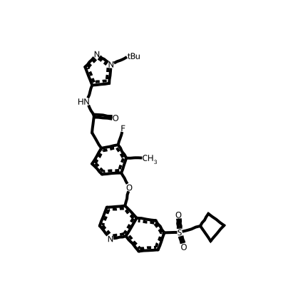 Cc1c(Oc2ccnc3ccc(S(=O)(=O)C4CCC4)cc23)ccc(CC(=O)Nc2cnn(C(C)(C)C)c2)c1F